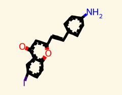 Nc1ccc(C=Cc2cc(=O)c3cc(I)ccc3o2)cc1